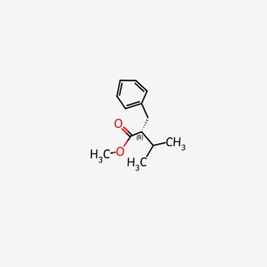 COC(=O)[C@H](Cc1ccccc1)C(C)C